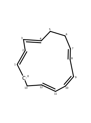 [CH]1/C=C/C=C/CC/C=C/C=C\C=C\C1